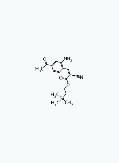 CC(=O)c1ccc(C=C(C#N)C(=O)OCC[Si](C)(C)C)c(N)c1